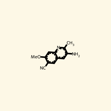 COc1cc2nc(C)c(N)cc2cc1C#N